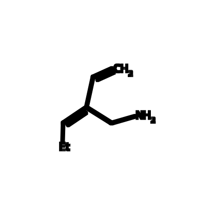 C=CC(=CCC)CN